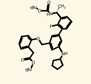 C[C@@H](NC(=O)OC(C)(C)C)c1cccc(-c2cc(COc3ccccc3CC(=O)OC(C)(C)C)cc(NC3CCCC3)c2)c1F